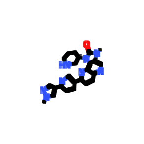 Cn1cc(-c2ccc(-c3ccc4ncc5c(c4n3)n([C@@H]3CCCNC3)c(=O)n5C)cn2)cn1